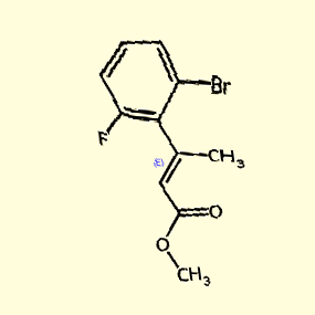 COC(=O)/C=C(\C)c1c(F)cccc1Br